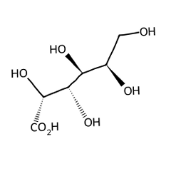 O=C(O)[C@H](O)[C@@H](O)[C@@H](O)[C@H](O)CO